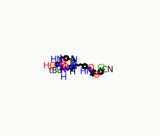 Cc1ncsc1-c1ccc([C@H](C)NC(=O)[C@@H]2C[C@@H](O)CN2C(=O)C(NC(=O)CN2C[C@H]3C[C@@H]2CN3CCCc2ccc(C(=O)NC3C(C)(C)C(Oc4ccc(C#N)c(Cl)c4)C3(C)C)cc2)C(C)(C)C)cc1